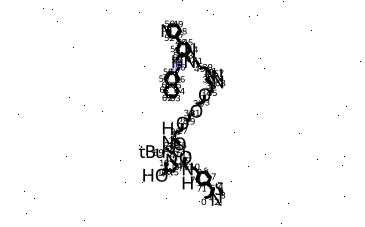 Cc1ncsc1-c1ccc(CNC(=O)[C@@H]2C[C@@H](O)CN2C(=O)[C@@H](NC(=O)CCOCCOCCOCc2cn(CCCNc3ncc(-c4cccnc4)cc3/C=C/c3ccc4ccccc4c3)nn2)C(C)(C)C)cc1